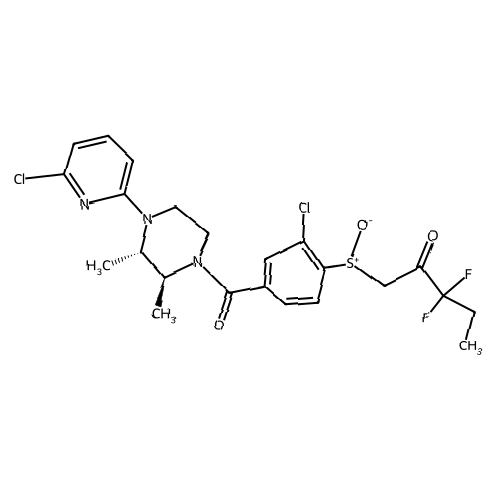 CCC(F)(F)C(=O)C[S+]([O-])c1ccc(C(=O)N2CCN(c3cccc(Cl)n3)[C@@H](C)[C@@H]2C)cc1Cl